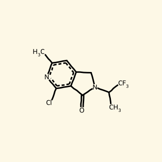 Cc1cc2c(c(Cl)n1)C(=O)N(C(C)C(F)(F)F)C2